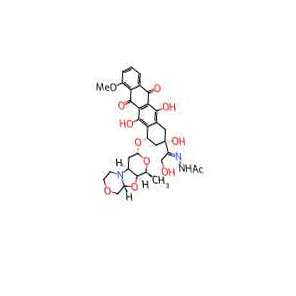 COc1cccc2c1C(=O)c1c(O)c3c(c(O)c1C2=O)C[C@@](O)(/C(CO)=N/NC(C)=O)C[C@@H]3O[C@H]1C[C@H]2[C@H](O[C@@H]3COCCN32)[C@H](C)O1